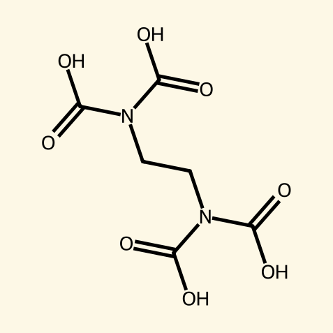 O=C(O)N(CCN(C(=O)O)C(=O)O)C(=O)O